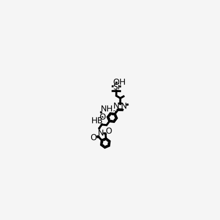 CC(CC(C)(C)[Si](C)(C)O)c1nc(-c2ccc(CC(BOCN)CN3C(=O)c4ccccc4C3=O)cc2)cn1C